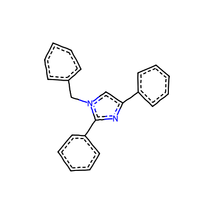 c1ccc(Cn2cc(-c3ccccc3)nc2-c2ccccc2)cc1